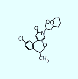 CC1COc2cn(C(C=O)CC3CCCCO3)c(=O)cc2-c2cc(Cl)ccc2C1